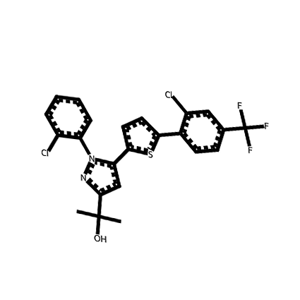 CC(C)(O)c1cc(-c2ccc(-c3ccc(C(F)(F)F)cc3Cl)s2)n(-c2ccccc2Cl)n1